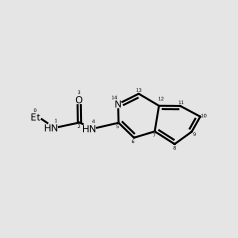 CCNC(=O)Nc1cc2ccccc2cn1